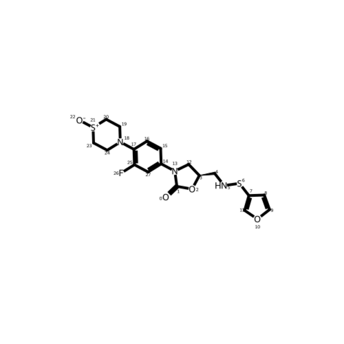 O=C1O[C@H](CNSc2ccoc2)CN1c1ccc(N2CC[S+]([O-])CC2)c(F)c1